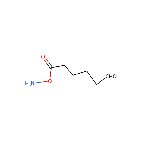 NOC(=O)CCCCC=O